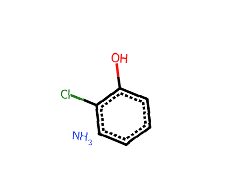 N.Oc1ccccc1Cl